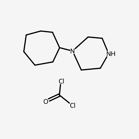 C1CCCC(N2CCNCC2)CC1.O=C(Cl)Cl